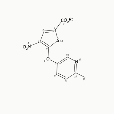 CCOC(=O)c1cc([N+](=O)[O-])c(Oc2ccc(C)nc2)s1